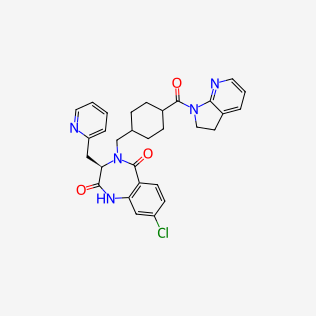 O=C1Nc2cc(Cl)ccc2C(=O)N(CC2CCC(C(=O)N3CCc4cccnc43)CC2)[C@@H]1Cc1ccccn1